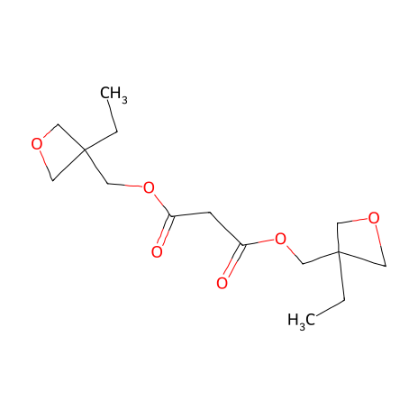 CCC1(COC(=O)CC(=O)OCC2(CC)COC2)COC1